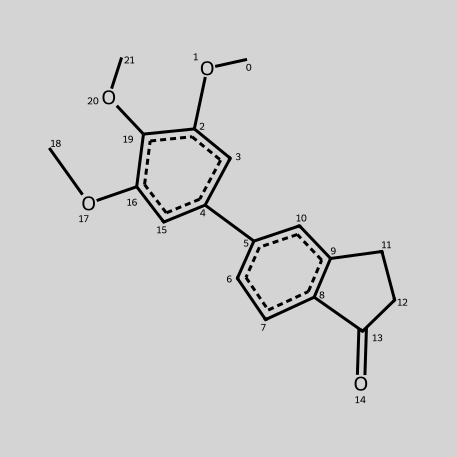 COc1cc(-c2ccc3c(c2)CCC3=O)cc(OC)c1OC